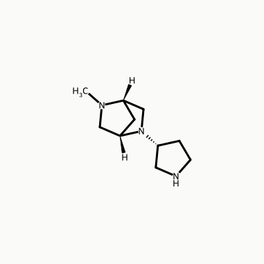 CN1C[C@@H]2C[C@H]1CN2[C@@H]1CCNC1